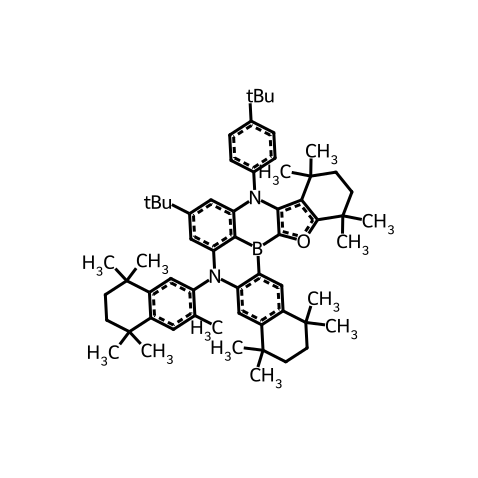 Cc1cc2c(cc1N1c3cc4c(cc3B3c5oc6c(c5N(c5ccc(C(C)(C)C)cc5)c5cc(C(C)(C)C)cc1c53)C(C)(C)CCC6(C)C)C(C)(C)CCC4(C)C)C(C)(C)CCC2(C)C